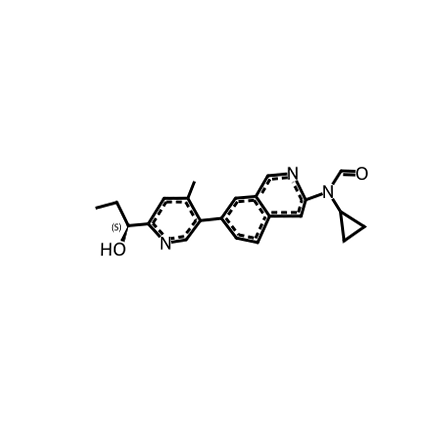 CC[C@H](O)c1cc(C)c(-c2ccc3cc(N(C=O)C4CC4)ncc3c2)cn1